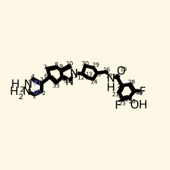 N/C=C\C(=C/N)c1ccc2cn(C3CCC(CNC(=O)c4cc(F)c(O)c(F)c4)CC3)nc2c1